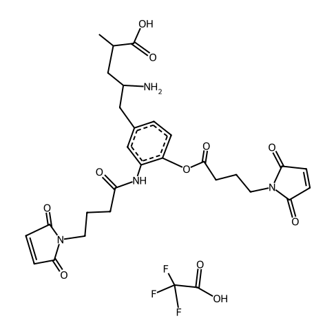 CC(CC(N)Cc1ccc(OC(=O)CCCN2C(=O)C=CC2=O)c(NC(=O)CCCN2C(=O)C=CC2=O)c1)C(=O)O.O=C(O)C(F)(F)F